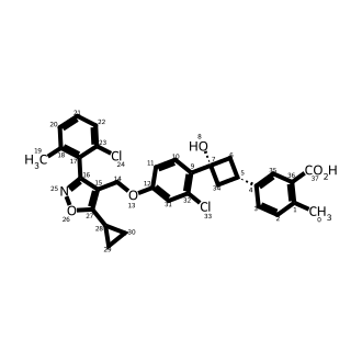 Cc1ccc([C@H]2C[C@](O)(c3ccc(OCc4c(-c5c(C)cccc5Cl)noc4C4CC4)cc3Cl)C2)cc1C(=O)O